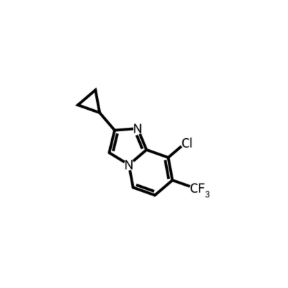 FC(F)(F)c1ccn2cc(C3CC3)nc2c1Cl